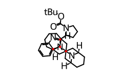 CC(C)(C)OC(=O)N1CCCC1c1nc2ccccc2n1C1C[C@H]2CCC[C@@H](C1)N2C1C[C@H]2CCCC[C@@H](C1)C2